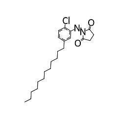 CCCCCCCCCCCCc1ccc(Cl)c([N]N2C(=O)CCC2=O)c1